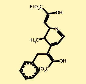 CCOC(=O)C(O)=CC1N=CC=C(C(Cc2ccccc2)=C(O)C(=O)OCC)C1C